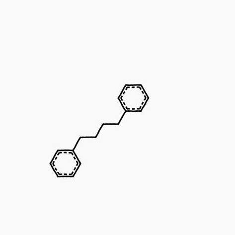 [CH](CCc1ccccc1)Cc1ccccc1